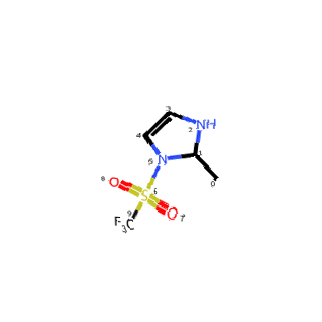 CC1NC=CN1S(=O)(=O)C(F)(F)F